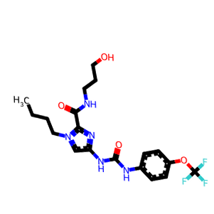 CCCCn1cc(NC(=O)Nc2ccc(OC(F)(F)F)cc2)nc1C(=O)NCCCO